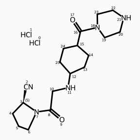 Cl.Cl.N#C[C@@H]1CCCN1C(=O)CNC1CCC(C(=O)N2CCNCC2)CC1